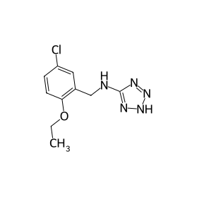 CCOc1ccc(Cl)cc1CNc1nn[nH]n1